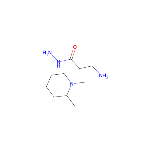 CC1CCCCN1C.NCCC(=O)NN